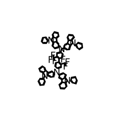 FC(F)(F)c1cc(N(c2ccc3c(c2)c2ccccc2n3-c2ccccc2)c2ccc3c(c2)c2ccccc2n3-c2ccccc2)ccc1-c1ccc(N(c2ccc3c(c2)c2ccccc2n3-c2ccccc2)c2ccc3c(c2)c2ccccc2n3-c2ccccc2)cc1C(F)(F)F